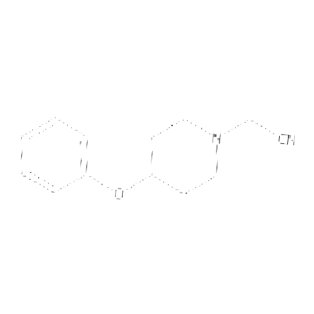 N#CCN1CCC(Oc2ccccc2)CC1